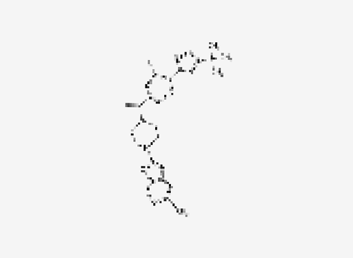 Cc1ccc2oc(N3CCN(C(=O)c4ccc(-c5ncn(C(C)(C)C)n5)c(F)c4)CC3)nc2n1